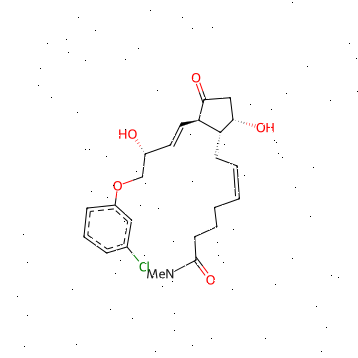 CNC(=O)CCC/C=C\C[C@H]1[C@@H](O)CC(=O)[C@@H]1/C=C/[C@@H](O)COc1cccc(Cl)c1